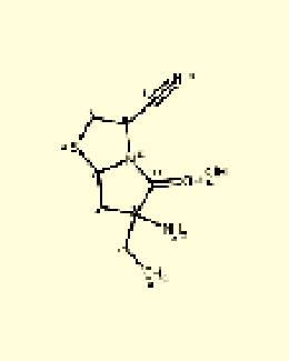 CCC1(N)CC2SCC(C#N)N2C1=O.Cl